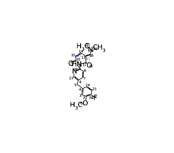 COc1cc(Cc2ccc(NC(=O)C(/C=C\C=O)=C/N(C)C)nc2)ccc1F